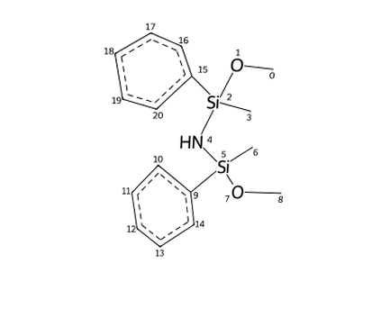 CO[Si](C)(N[Si](C)(OC)c1ccccc1)c1ccccc1